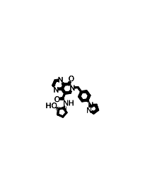 O=C(N[C@H]1CCC[C@@H]1O)c1cn(Cc2ccc(-n3cccn3)cc2)c(=O)c2nccnc12